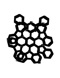 c1ccc(-c2nc(-c3ccccc3)nc(-c3c(-n4c5ccccc5c5cnccc54)c(-c4nc5ccccc5o4)c(-n4c5ccccc5c5cnccc54)c(-n4c5ccccc5c5cnccc54)c3-n3c4ccccc4c4cnccc43)n2)cc1